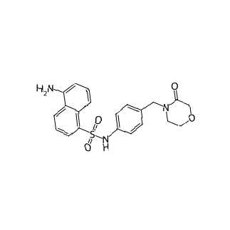 Nc1cccc2c(S(=O)(=O)Nc3ccc(CN4CCOCC4=O)cc3)cccc12